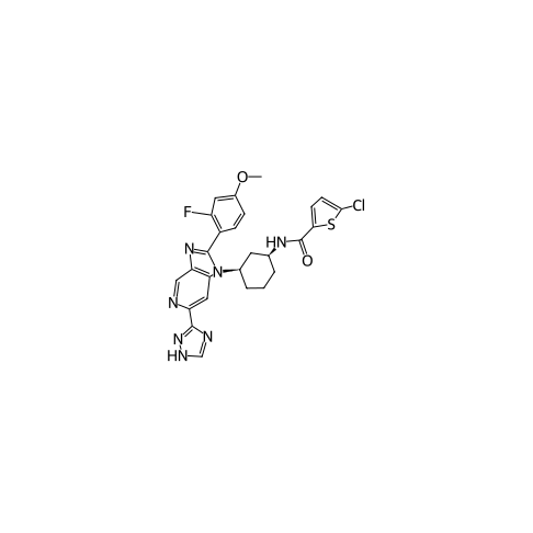 COc1ccc(-c2nc3cnc(-c4nc[nH]n4)cc3n2[C@@H]2CCC[C@H](NC(=O)c3ccc(Cl)s3)C2)c(F)c1